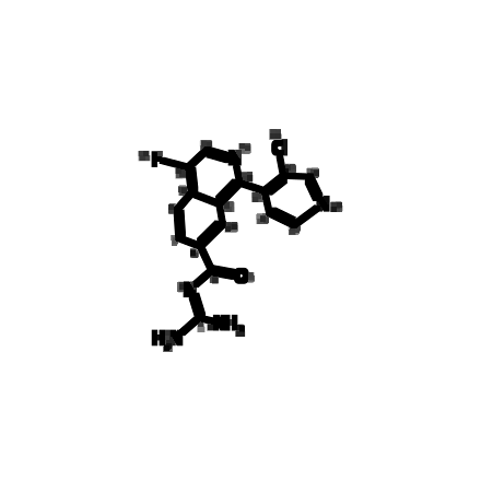 NC(N)=NC(=O)c1ccc2c(F)cnc(-c3ccncc3Cl)c2c1